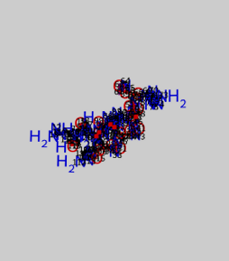 CCC(CC)(N[C@@H](CCCNC(=N)N)C(=O)C(CC)(CC)NCC(=O)N1C[C@@H](COP(=O)(N(C)C)N2C[C@@H](COP(=O)(N(C)C)N3C[C@@H](COP(=O)(N(C)C)N4C[C@@H](COP(C)(=O)N(C)C)O[C@@H](n5cnc6c(N)ncnc65)C4)O[C@@H](n4cnc5c(N)ncnc54)C3)O[C@@H](n3cnc4c(=O)[nH]c(N)nc43)C2)O[C@@H](n2ccc(N)nc2=O)C1)C(C)=O